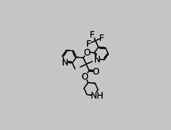 Cc1ncccc1C(Oc1ncccc1C(F)(F)F)C(C)(C)C(=O)OC1CCNCC1